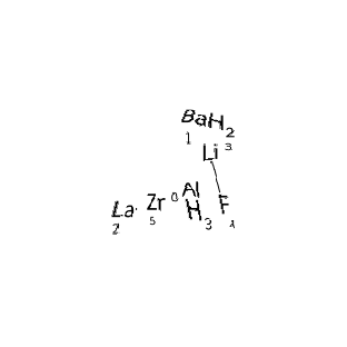 [AlH3].[BaH2].[La].[Li][F].[Zr]